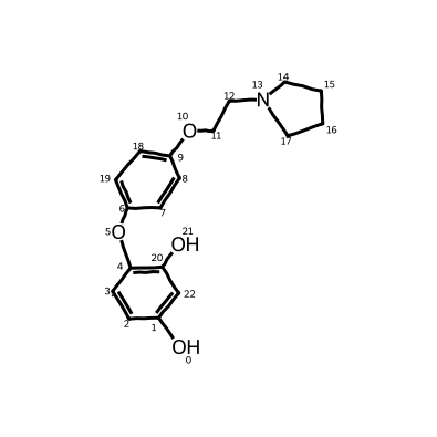 Oc1c[c]c(Oc2ccc(OCCN3CCCC3)cc2)c(O)c1